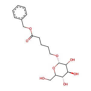 O=C(CCCCO[C@H]1OC(CO)[C@@H](O)[C@H](O)C1O)OCc1ccccc1